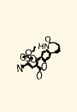 CCOS(=O)(=O)C(C#N)=Cc1cc2cc3c(cc2oc1=O)C#CCCC(=O)N3